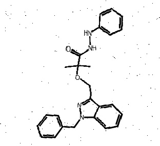 CC(C)(OCc1nn(Cc2ccccc2)c2ccccc12)C(=O)NNc1ccccc1